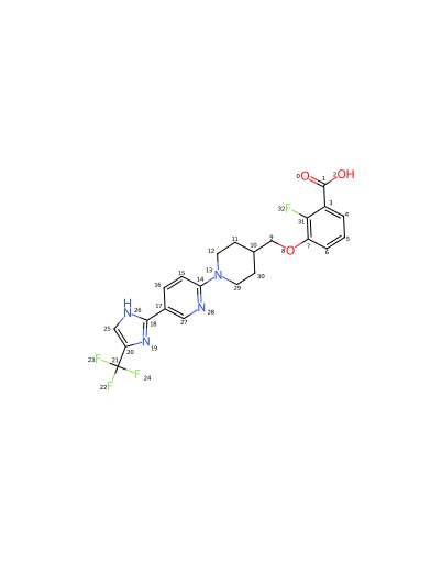 O=C(O)c1cccc(OCC2CCN(c3ccc(-c4nc(C(F)(F)F)c[nH]4)cn3)CC2)c1F